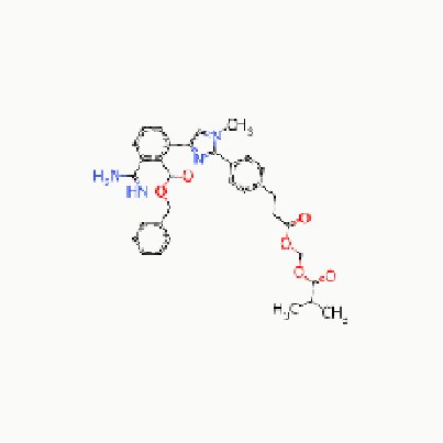 CC(C)C(=O)OCOC(=O)CCc1ccc(-c2nc(-c3cccc(C(=N)N)c3C(=O)OCc3ccccc3)cn2C)cc1